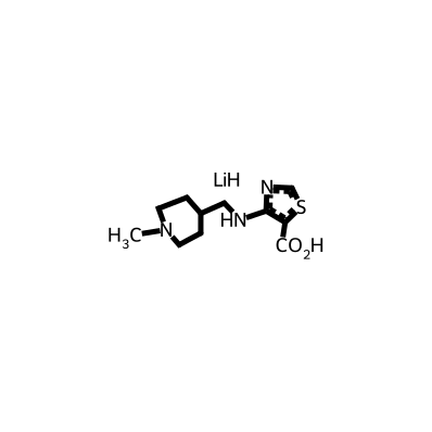 CN1CCC(CNc2ncsc2C(=O)O)CC1.[LiH]